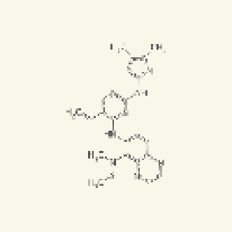 C=Cc1cnc(Nc2cc(C)n(C)n2)nc1Nc1ccc2nccnc2c1N(C)SC